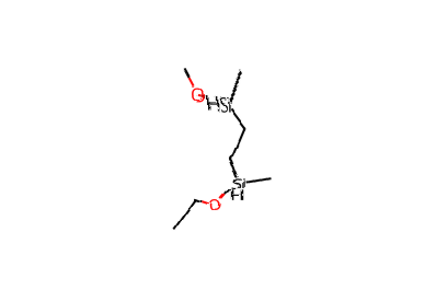 CCO[SiH](C)CC[SiH](C)OC